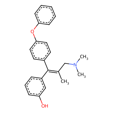 C/C(CN(C)C)=C(/c1ccc(Oc2ccccc2)cc1)c1cccc(O)c1